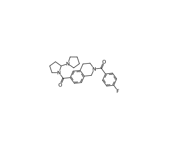 O=C(c1ccc(F)cc1)N1CCc2cc(C(=O)N3CCCC3N3CCCC3)ccc2C1